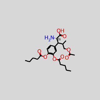 CCCCC(=O)Oc1ccc(C(C(C)COC(C)=O)[C@H](N)C(=O)O)cc1OC(=O)CCCC